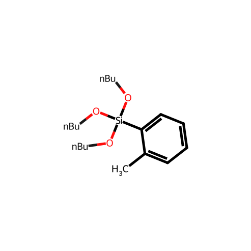 CCCCO[Si](OCCCC)(OCCCC)c1ccccc1C